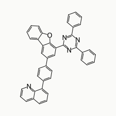 c1ccc(-c2nc(-c3ccccc3)nc(-c3cc(-c4ccc(-c5cccc6cccnc56)cc4)cc4c3oc3ccccc34)n2)cc1